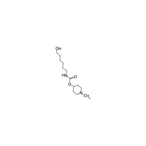 CN1CCC(OC(=O)NCCCCCCO)CC1